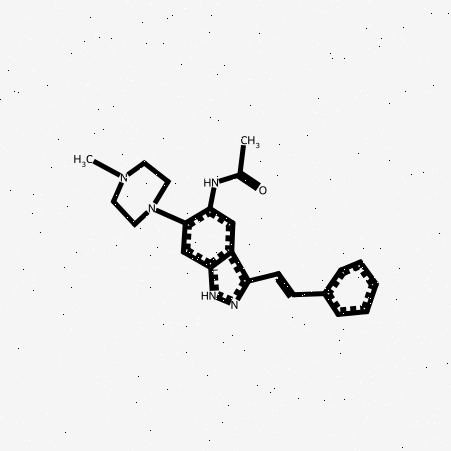 CC(=O)Nc1cc2c(C=Cc3ccccc3)n[nH]c2cc1N1CCN(C)CC1